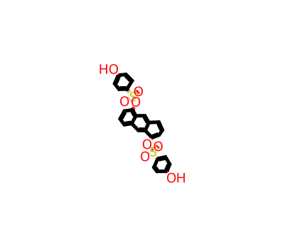 O=S(=O)(Oc1cccc2cc3c(OS(=O)(=O)c4ccc(O)cc4)cccc3cc12)c1ccc(O)cc1